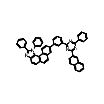 c1ccc(-c2nc(-c3cccc(-c4ccc5c(ccc6ccc7nc(-c8ccccc8)n(-c8ccccc8)c7c65)c4)c3)nc(-c3ccc4ccccc4c3)n2)cc1